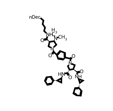 CCCCCCCCCCCCCCNC(=O)[C@@H]1CN(C(=O)c2ccc(C(=O)N3C[C@@H](C(=O)N[C@H]4C[C@@H]4c4ccccc4)[C@H](C(=O)N[C@H]4C[C@@H]4c4ccccc4)C3)cc2)C[C@H]1N(C)C